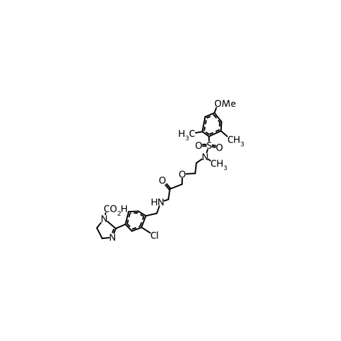 COc1cc(C)c(S(=O)(=O)N(C)CCOCC(=O)CNCc2ccc(C3=NCCN3C(=O)O)cc2Cl)c(C)c1